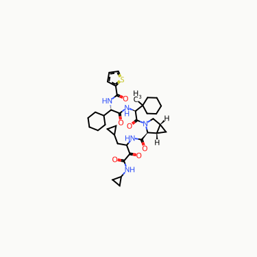 CC1([C@H](NC(=O)[C@@H](NC(=O)c2cccs2)C2CCCCC2)C(=O)N2C[C@@H]3C[C@@H]3[C@H]2C(=O)NC(CC2CC2)C(=O)C(=O)NC2CC2)CCCCC1